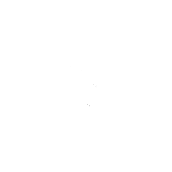 CC(C)C1CCCN(C(=O)N(C)C)C1